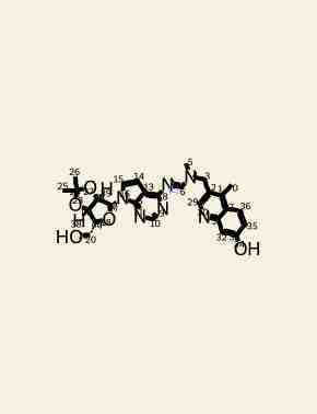 Cc1c(CN(C)/C=N/c2ncnc3c2ccn3[C@@H]2O[C@H](CO)[C@H]3OC(C)(C)O[C@H]32)cnc2cc(O)ccc12